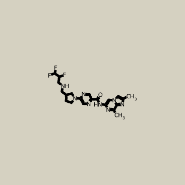 Cc1cn2cc(NC(=O)c3cnc(N4CCC(CNCC(F)C(F)F)C4)cn3)nc(C)c2n1